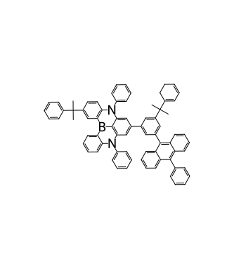 CC(C)(C1=CC=CCC1)c1cc(-c2cc3c4c(c2)N(c2ccccc2)c2ccc(C(C)(C)c5ccccc5)cc2B4c2ccccc2N3c2ccccc2)cc(-c2c3ccccc3c(-c3ccccc3)c3ccccc23)c1